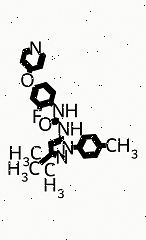 Cc1ccc(-n2nc(C(C)(C)C)cc2NC(=O)Nc2ccc(Oc3ccncc3)cc2F)cc1